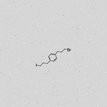 BrCCCc1ccc(CCCI)cc1